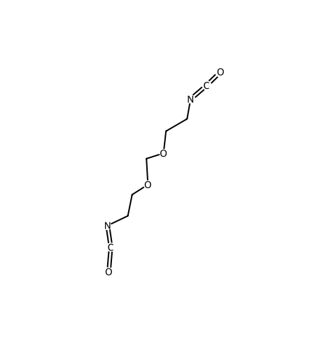 O=C=NCCOCOCCN=C=O